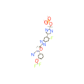 CC[C@@H](O/C(=C/C#N)c1cccc(OC(F)F)c1)c1nc2cc(F)c(-c3cnc(C(C)(C)OP(OC)OC)nc3)cc2n1C